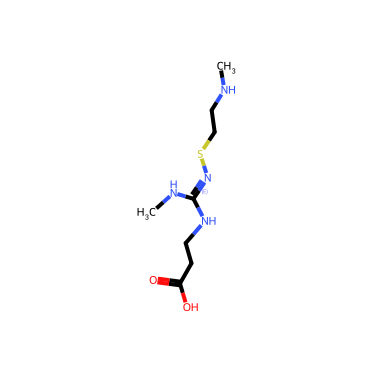 CNCCS/N=C(\NC)NCCC(=O)O